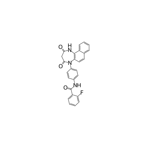 O=C1CC(=O)N(c2ccc(NC(=O)c3ccccc3F)cc2)c2ccc3ccccc3c2N1